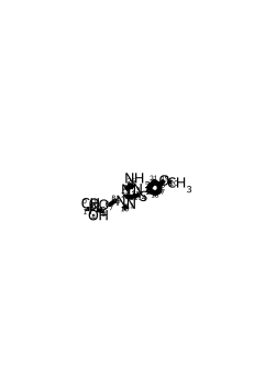 C=C[P@@](=O)(O)COCCn1cnc2c(Sc3ccc(OC)cc3)nc(N)nc21